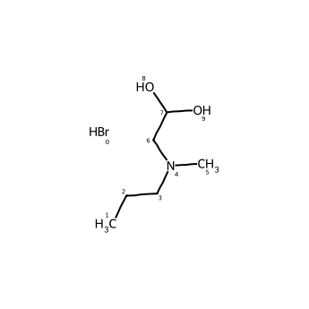 Br.CCCN(C)CC(O)O